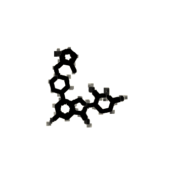 Cc1cc[nH]c1CN1CCC(c2cc(F)cc3c2CN(C2CCC(=O)NC2=O)C3=O)CC1